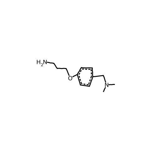 CN(C)Cc1ccc(OCCCN)cc1